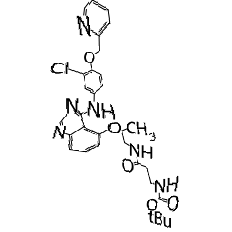 CC(CNC(=O)CCNC(=O)OC(C)(C)C)Oc1cccc2ncnc(Nc3ccc(OCc4ccccn4)c(Cl)c3)c12